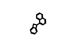 c1ccc2c(c1)CC2c1cccc2ccccc12